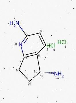 Cl.Cl.Nc1ccc2c(n1)CC[C@H]2N